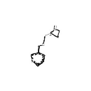 c1cncc(COC[C@H]2CCN2)c1